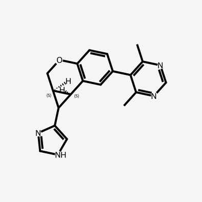 Cc1ncnc(C)c1-c1ccc2c(c1)[C@H]1C(c3c[nH]cn3)[C@H]1CO2